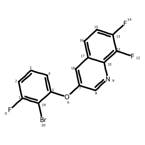 Fc1cccc(Oc2cnc3c(F)c(F)ccc3c2)c1Br